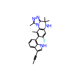 CC#Cc1c[nH]c2c(-c3c(F)cc4c(c3C)-n3c(C)nnc3C(C)(C)N4)cccc12